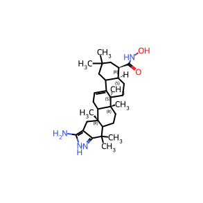 CC1(C)CC2C3=CCC4[C@@]5(C)Cc6c(n[nH]c6N)C(C)(C)C5CC[C@@]4(C)[C@]3(C)CC[C@@H]2[C@H](C(=O)NO)C1